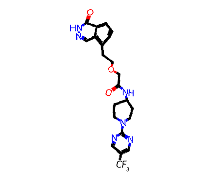 O=C(COCCc1cccc2c(=O)[nH]ncc12)NC1CCN(c2ncc(C(F)(F)F)cn2)CC1